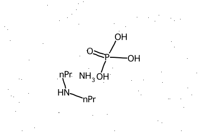 CCCNCCC.N.O=P(O)(O)O